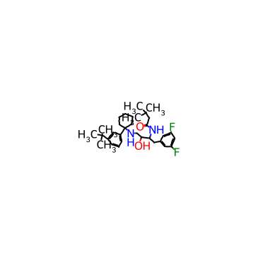 CC(C)(C)CC(=O)NC(Cc1cc(F)cc(F)c1)C(O)CNC1(c2cccc(C(C)(C)C)c2)CCCCC1